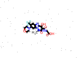 Cn1c(=O)c(C(=O)NCC(=O)O)c(O)c2nc3cc(C(F)(F)F)c(N4CCOCC4)cc3n21